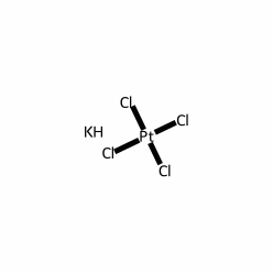 [Cl][Pt]([Cl])([Cl])[Cl].[KH]